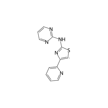 [c]1sc(Nc2ncccn2)nc1-c1ccccn1